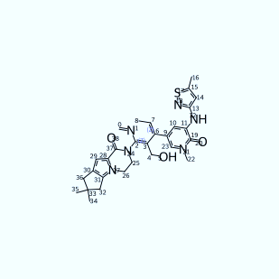 C=N/C(=C(CO)\C(=C/C)c1cc(Nc2cc(C)sn2)c(=O)n(C)c1)N1CCn2c(cc3c2CC(C)(C)C3)C1=O